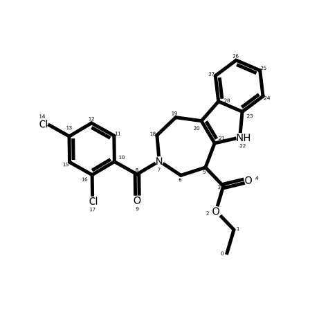 CCOC(=O)C1CN(C(=O)c2ccc(Cl)cc2Cl)CCc2c1[nH]c1ccccc21